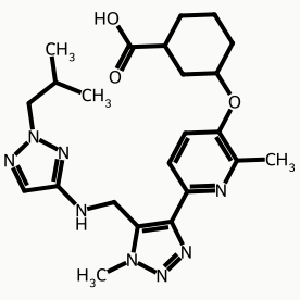 Cc1nc(-c2nnn(C)c2CNc2cnn(CC(C)C)n2)ccc1OC1CCCC(C(=O)O)C1